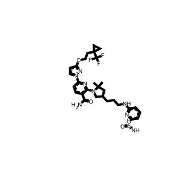 CC1(C)CC(CCCNc2cccc([SH](=N)=O)n2)CN1c1nc(-n2ccc(OCCC3(C(F)(F)F)CC3)n2)ccc1C(N)=O